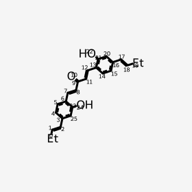 CCC=Cc1ccc(C=CC(=O)C=Cc2ccc(C=CCC)cc2O)c(O)c1